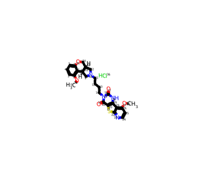 COc1cccc2c1[C@@H]1CN(CCCCn3c(=O)[nH]c4c(sc5nccc(OC)c54)c3=O)C[C@@H]1CO2.Cl